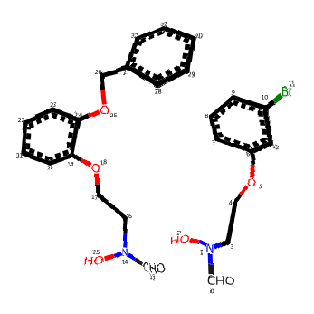 O=CN(O)CCOc1cccc(Br)c1.O=CN(O)CCOc1ccccc1OCc1ccccc1